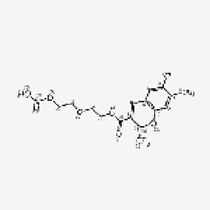 CC(C)(C)c1cc2c(cc1Cl)C=C(C(=O)OCCOCCONO)[C@@H](C(F)(F)F)O2